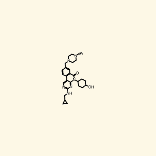 CC(C)N1CCN(Cc2ccc3c(c2)c(=O)n(C2CCC(O)CC2)c2nc(NCC4CC4)ncc32)CC1